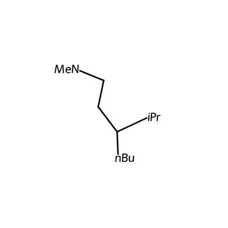 CCCCC(CCNC)C(C)C